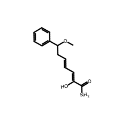 COC(CC=CC=C(O)C(N)=O)c1ccccc1